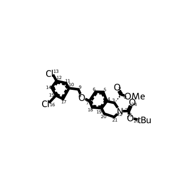 COC(=O)[C@H]1c2ccc(OCc3cc(Cl)cc(Cl)c3)cc2CCN1C(=O)OC(C)(C)C